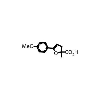 COc1ccc(C2=CCC(C)(C(=O)O)O2)cc1